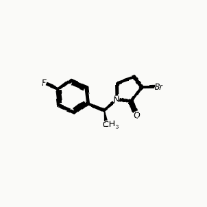 C[C@@H](c1ccc(F)cc1)N1CCC(Br)C1=O